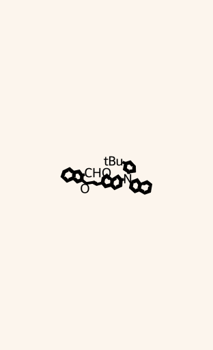 CC(C)(C)c1cccc(N(c2ccc3ccccc3c2)c2ccc3cc(C=CC(=O)c4cc5ccccc5cc4C=O)ccc3c2)c1